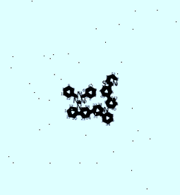 c1ccc(-c2nc(-c3ccccc3)nc(-n3c4ccccc4c4ccc(-c5ccc6c(c5)c5ccccc5n6-c5cccc(-c6ccc7sc8cccnc8c7c6)c5)cc43)n2)cc1